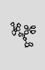 c1ccc(-n2c3ccccc3c3c(-c4cccc(N(c5ccc(-c6cccc7ccccc67)cc5)c5ccc([Si](c6ccccc6)(c6ccccc6)c6ccccc6)cc5)c4)cc4ccccc4c32)cc1